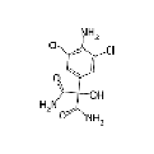 NC(=O)C(O)(C(N)=O)c1cc(Cl)c(N)c(Cl)c1